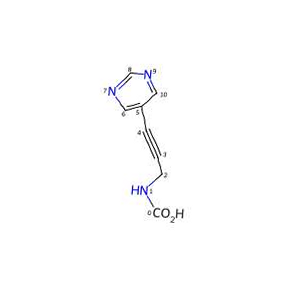 O=C(O)NCC#Cc1cncnc1